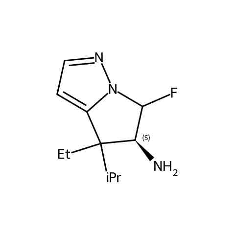 CCC1(C(C)C)c2ccnn2C(F)[C@H]1N